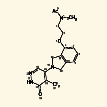 CC(=O)N(C)CCOc1cccc2c1CN(c1cn[nH]c(=O)c1C(F)(F)F)C2